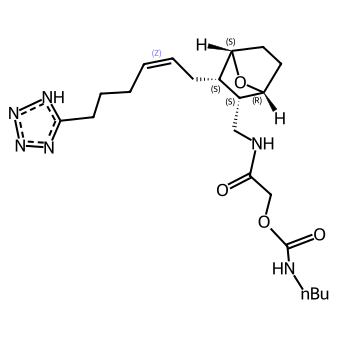 CCCCNC(=O)OCC(=O)NC[C@@H]1[C@H](C/C=C\CCCc2nnn[nH]2)[C@@H]2CC[C@H]1O2